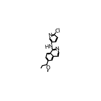 CCC(OC)c1ccc2c(Nc3ccc(Cl)nc3)nccc2c1